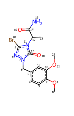 COc1ccc(Cn2nc(Br)n(C(C)C(N)=O)c2=O)cc1OC